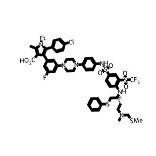 CCn1c(C)c(C(=O)O)c(-c2cc(F)cc(N3CCN(c4ccc(NS(=O)(=O)c5ccc(N[C@H](CCN(C)CSC)CSc6ccccc6)c(S(=O)(=O)C(F)(F)F)c5)cc4)CC3)c2)c1-c1ccc(Cl)cc1